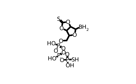 BC1OC(COP(=O)(O)OP(=O)(O)OP(=O)(O)S)C2OC(=S)OC12